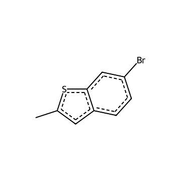 Cc1cc2ccc(Br)cc2s1